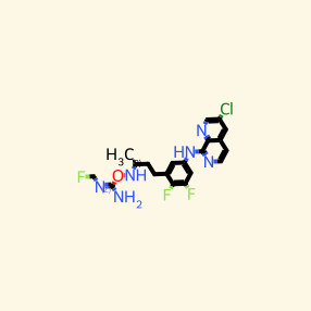 C[C@H](CCc1cc(Nc2nccc3cc(Cl)cnc23)cc(F)c1F)NO/C(N)=N\CF